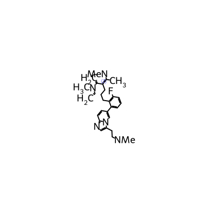 C=CN(C)C(=C)/C(CCCc1c(F)cccc1-c1ccc2ncc(CCNC)n2c1)=C(/C)NC